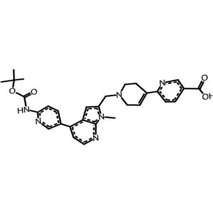 Cn1c(CN2CC=C(c3ccc(C(=O)O)cn3)CC2)cc2c(-c3ccc(NC(=O)OC(C)(C)C)nc3)ccnc21